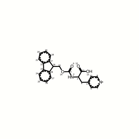 O=C(NC(Cc1ccncc1)C(=O)O)OCC1c2ccccc2-c2ccccc21